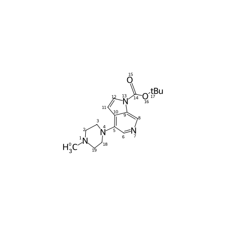 CN1CCN(c2cncc3c2ccn3C(=O)OC(C)(C)C)CC1